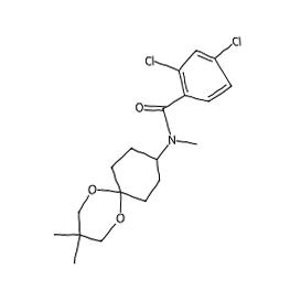 CN(C(=O)c1ccc(Cl)cc1Cl)C1CCC2(CC1)OCC(C)(C)CO2